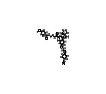 COc1ccc(C(=O)CCCCC(=O)N[C@H](CN2CCCC2)[C@H](O)c2ccc(OCCOc3ccc(C#N)cc3)cc2)cc1